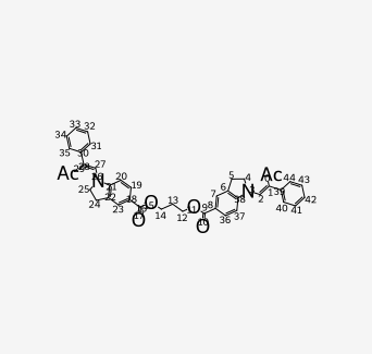 CC(=O)/C(=C\N1CCc2cc(C(=O)OCCCOC(=O)c3ccc4c(c3)CCN4/C=C(\C(C)=O)c3ccccc3)ccc21)c1ccccc1